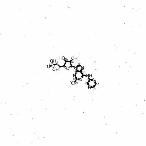 O=P(O)(O)CCC1OC(n2cnc3c(Nc4cnccn4)nc(Cl)nc32)C(O)C1O